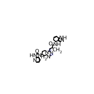 C=C(/C=C(\N=C/N)N1CCC(n2c(=O)[nH]c3ncccc32)CC1)C(=O)NC1CC=Cc2[nH]ncc21